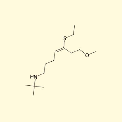 CCS/C(=C/CCCNC(C)(C)C)CCOC